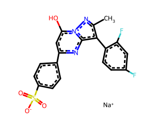 Cc1nn2c(O)cc(-c3ccc(S(=O)(=O)[O-])cc3)nc2c1-c1ccc(F)cc1F.[Na+]